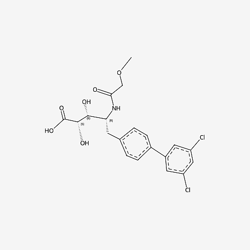 COCC(=O)N[C@H](Cc1ccc(-c2cc(Cl)cc(Cl)c2)cc1)[C@@H](O)[C@H](O)C(=O)O